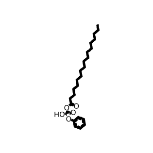 CCCCCCCCCCCCCCCCCC(=O)OP(=O)(O)Oc1ccccc1